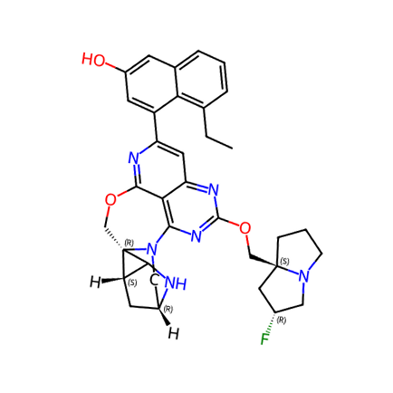 CCc1cccc2cc(O)cc(-c3cc4nc(OC[C@@]56CCCN5C[C@H](F)C6)nc5c4c(n3)OC[C@]34C6N[C@H](C[C@@H]63)CN54)c12